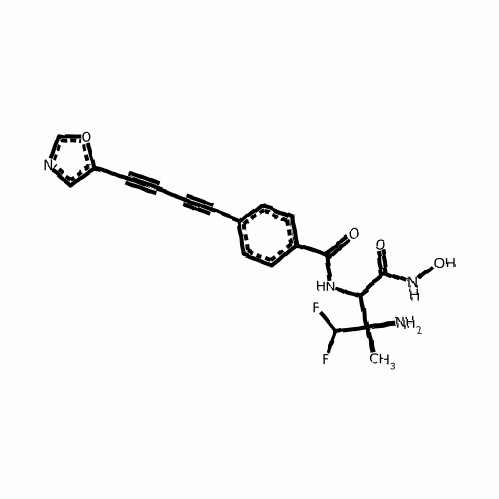 CC(N)(C(F)F)C(NC(=O)c1ccc(C#CC#Cc2cnco2)cc1)C(=O)NO